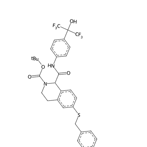 CC(C)(C)OC(=O)N1CCc2cc(SCc3ccccc3)ccc2C1C(=O)Nc1ccc(C(O)(C(F)(F)F)C(F)(F)F)cc1